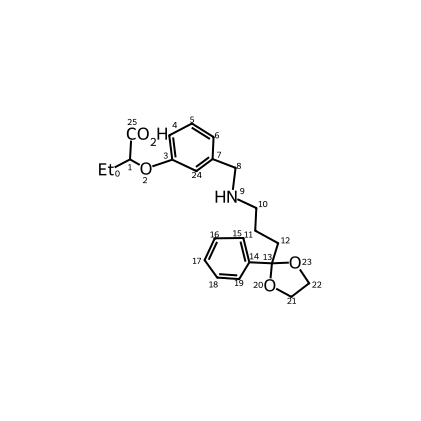 CCC(Oc1cccc(CNCCCC2(c3ccccc3)OCCO2)c1)C(=O)O